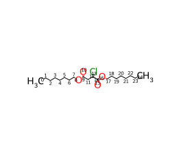 CCCCCCCCOC(=O)CC(Cl)C(=O)OCCCCCCCC